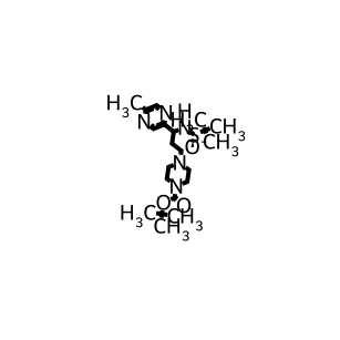 Cc1cnc(C(CCN2CCN(C(=O)OC(C)(C)C)CC2)N[S@+]([O-])C(C)(C)C)cn1